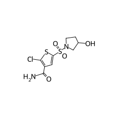 NC(=O)c1cc(S(=O)(=O)N2CCC(O)C2)sc1Cl